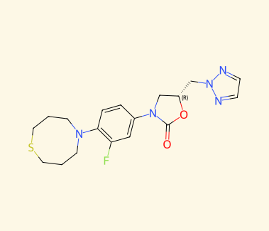 O=C1O[C@@H](Cn2nccn2)CN1c1ccc(N2CCCSCCC2)c(F)c1